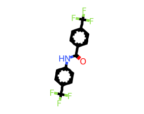 O=C(Nc1ccc(C(F)(F)F)cc1)c1ccc(C(F)(F)F)cc1